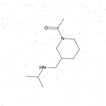 CC(=O)N1CCCC(CNC(C)C)C1